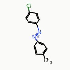 FC(F)(F)c1ccc(/N=N/c2ccc(Cl)cc2)cc1